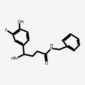 CCCCC(CCC(=O)NCc1ccccc1)c1ccc(O)c(F)c1